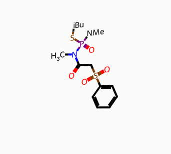 CCC(C)SP(=O)(NC)N(C)C(=O)CS(=O)(=O)c1ccccc1